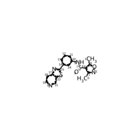 Cc1noc(C)c1[S+]([O-])Nc1cccc(-c2nc3ccncc3s2)c1